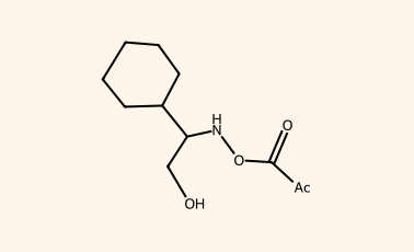 CC(=O)C(=O)ONC(CO)C1CCCCC1